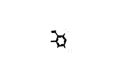 CC(=O)c1c(N)cc(C)c(O)c1F